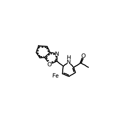 CC(=O)C1=CC=CC(c2nc3ccccc3o2)N1.[Fe]